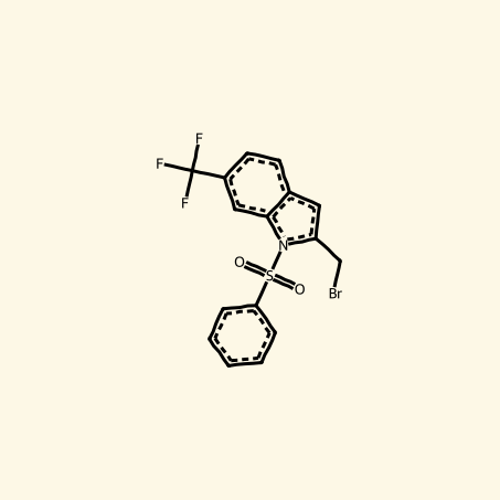 O=S(=O)(c1ccccc1)n1c(CBr)cc2ccc(C(F)(F)F)cc21